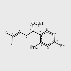 CCOC(=O)C(CC=C(C)C)c1ccc(F)cc1C(C)C